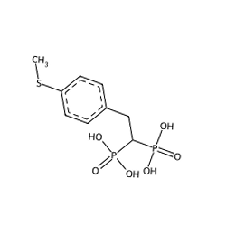 CSc1ccc(CC(P(=O)(O)O)P(=O)(O)O)cc1